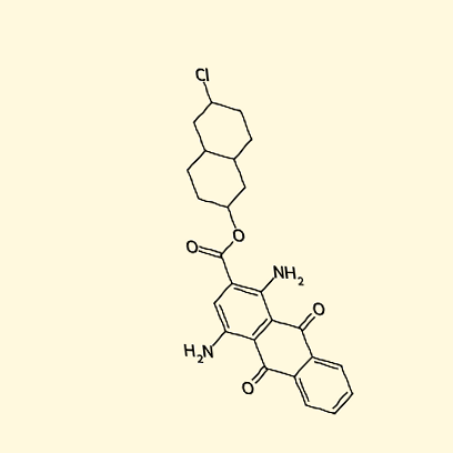 Nc1cc(C(=O)OC2CCC3CC(Cl)CCC3C2)c(N)c2c1C(=O)c1ccccc1C2=O